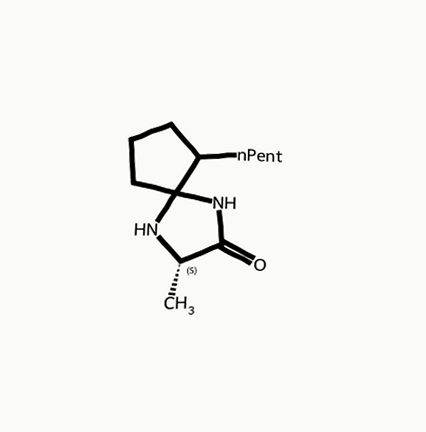 CCCCCC1CCCC12NC(=O)[C@H](C)N2